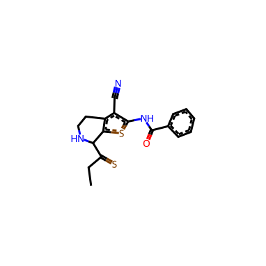 CCC(=S)C1NCCc2c1sc(NC(=O)c1ccccc1)c2C#N